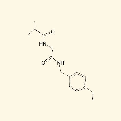 CCc1ccc(CNC(=O)CNC(=O)C(C)C)cc1